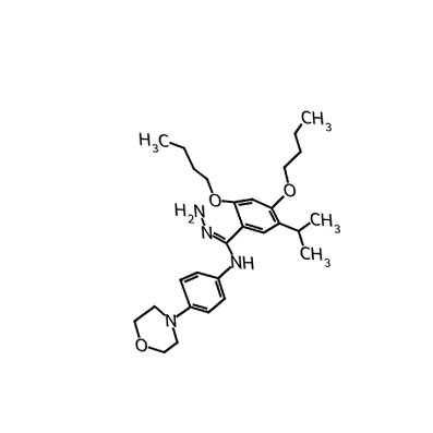 CCCCOc1cc(OCCCC)c(C(C)C)cc1/C(=N\N)Nc1ccc(N2CCOCC2)cc1